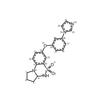 O=S1(=O)NC2CCCN2c2ccc(Oc3cccc(-n4ccnc4)c3)cc21